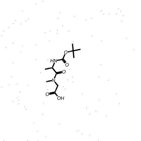 CC(NC(=O)OC(C)(C)C)C(=O)N(C)CC(=O)O